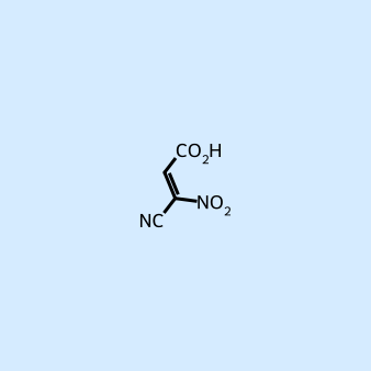 N#CC(=CC(=O)O)[N+](=O)[O-]